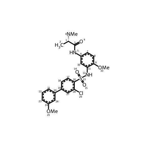 CN[C@@H](C)C(=O)Nc1ccc(OC)c(NS(=O)(=O)c2ccc(-c3cccc(OC)c3)cc2Cl)c1